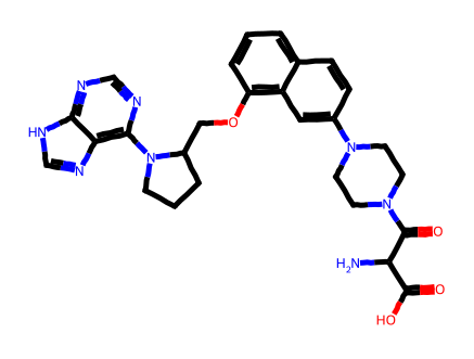 NC(C(=O)O)C(=O)N1CCN(c2ccc3cccc(OCC4CCCN4c4ncnc5[nH]cnc45)c3c2)CC1